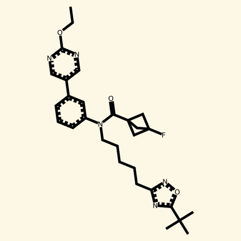 CCOc1ncc(-c2cccc(N(CCCCCc3noc(C(C)(C)C)n3)C(=O)C34CC(F)(C3)C4)c2)cn1